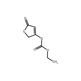 CCOC(=O)OC1=CC(=O)SC1